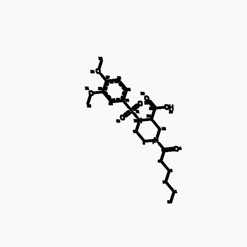 CCCCCC(=O)N1CCN(S(=O)(=O)c2ccc(OC)c(OC)c2)C(C(=O)O)C1